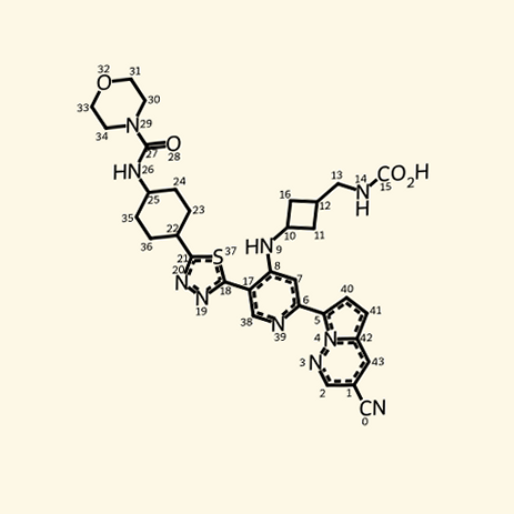 N#Cc1cnn2c(-c3cc(NC4CC(CNC(=O)O)C4)c(-c4nnc(C5CCC(NC(=O)N6CCOCC6)CC5)s4)cn3)ccc2c1